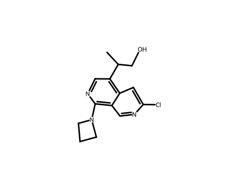 CC(CO)c1cnc(N2CCC2)c2cnc(Cl)cc12